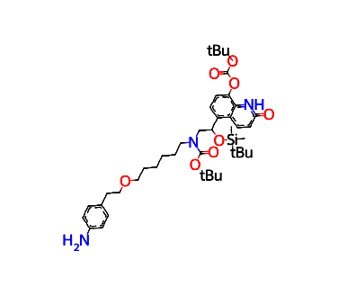 CC(C)(C)OC(=O)Oc1ccc([C@H](CN(CCCCCCOCCc2ccc(N)cc2)C(=O)OC(C)(C)C)O[Si](C)(C)C(C)(C)C)c2ccc(=O)[nH]c12